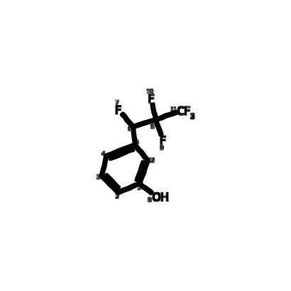 Oc1cccc(C(F)C(F)(F)C(F)(F)F)c1